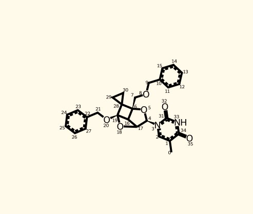 Cc1cn([C@@H]2O[C@]3(COCc4ccccc4)C4C2O[C@]4(OCc2ccccc2)C32CC2)c(=O)[nH]c1=O